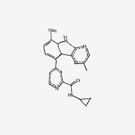 COC1=CC=C(c2ccnc(C(=O)NC3CC3)c2)C2c3cc(C)cnc3NC12